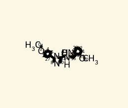 CCOc1ccc(-c2cncc(C(=O)Nc3cc4c(OC)cccc4[nH]3)n2)cc1